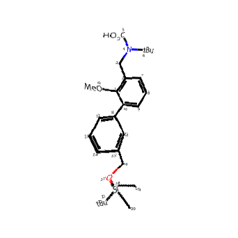 COc1c(CN(C(=O)O)C(C)(C)C)cccc1-c1cccc(CO[Si](C)(C)C(C)(C)C)c1